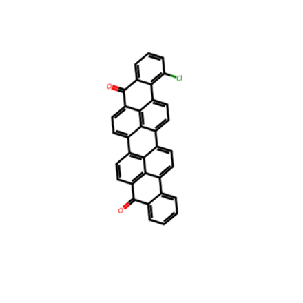 O=C1c2ccccc2-c2ccc3c4ccc5c6c(ccc(c7ccc1c2c73)c64)C(=O)c1cccc(Cl)c1-5